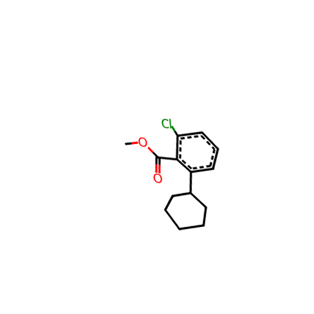 COC(=O)c1c(Cl)cccc1C1CCCCC1